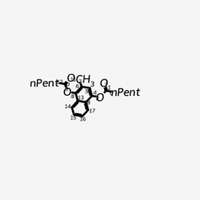 CCCCCC(=O)Oc1cc(C)c(OC(=O)CCCCC)c2ccccc12